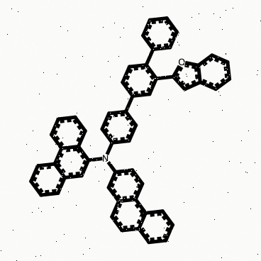 c1ccc(-c2ccc(-c3ccc(N(c4ccc5c(ccc6ccccc65)c4)c4cc5ccccc5c5ccccc45)cc3)cc2-c2cc3ccccc3o2)cc1